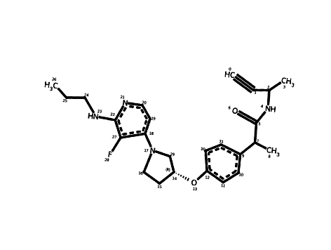 C#CC(C)NC(=O)C(C)c1ccc(O[C@@H]2CCN(c3ccnc(NCCC)c3F)C2)cc1